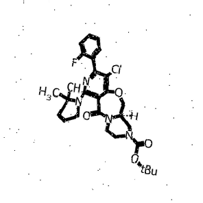 CC(C)(C)OC(=O)N1CCN2C(=O)c3c(N4CCCC4(C)C)nc(-c4ccccc4F)c(Cl)c3OC[C@H]2C1